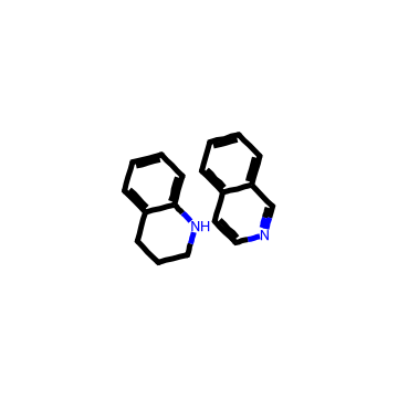 c1ccc2c(c1)CCCN2.c1ccc2cnccc2c1